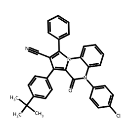 CC(C)(C)c1ccc(-c2c(C#N)c(-c3ccccc3)n3c2c(=O)n(-c2ccc(Cl)cc2)c2ccccc23)cc1